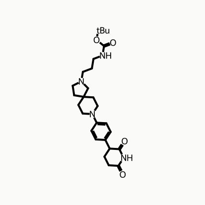 CC(C)(C)OC(=O)NCCCN1CCC2(CCN(c3ccc(C4CCC(=O)NC4=O)cc3)CC2)C1